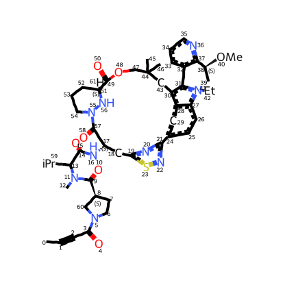 CC#CC(=O)N1CC[C@H](C(=O)N(C)C(C(=O)N[C@H]2Cc3nc(ns3)-c3ccc4c(c3)c(c(-c3cccnc3[C@H](C)OC)n4CC)CC(C)(C)COC(=O)[C@@H]3CCCN(N3)C2=O)C(C)C)C1